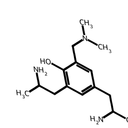 CC(N)Cc1cc(CC(C)N)c(O)c(CN(C)C)c1